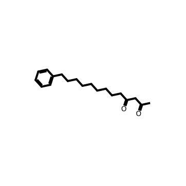 CC(=O)CC(=O)CCCCCCCCCc1ccccc1